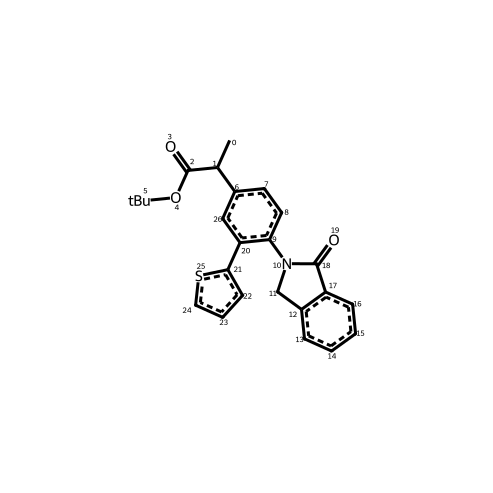 CC(C(=O)OC(C)(C)C)c1ccc(N2Cc3ccccc3C2=O)c(-c2cccs2)c1